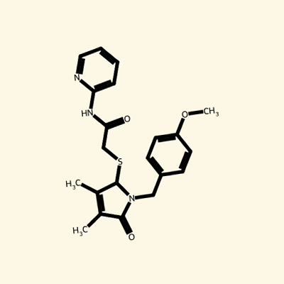 COc1ccc(CN2C(=O)C(C)=C(C)C2SCC(=O)Nc2ccccn2)cc1